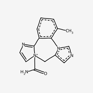 Cc1cccc2c1-n1cncc1C[N+]1(C(N)=O)C=CN=C21